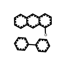 Clc1cccc2cc3ccccc3cc12.c1ccc(-c2ccccc2)cc1